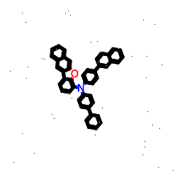 c1ccc(-c2ccc(N(c3ccc(-c4ccc5ccccc5c4)cc3)c3cccc4c3oc3cc5ccccc5cc34)cc2)cc1